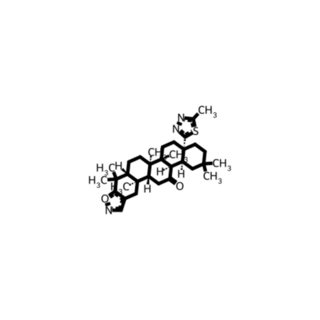 Cc1nnc([C@]23CCC(C)(C)C[C@H]2[C@H]2C(=O)C[C@@H]4[C@@]5(C)Cc6cnoc6C(C)(C)[C@@H]5CC[C@@]4(C)[C@]2(C)CC3)s1